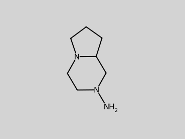 NN1CCN2CCCC2C1